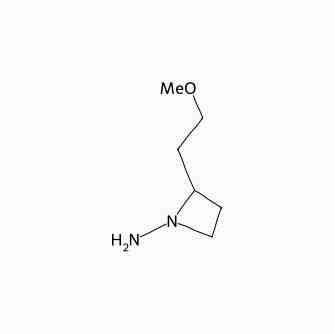 COCCC1CCN1N